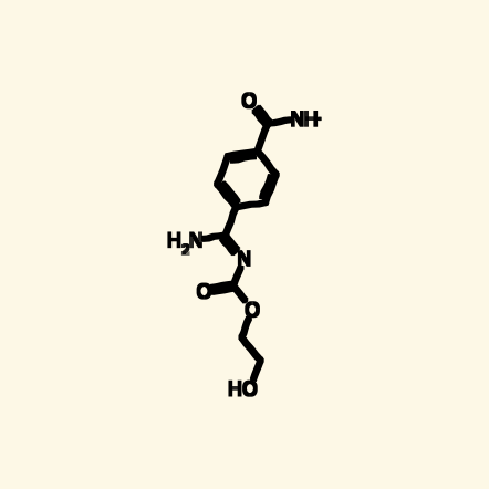 [NH]C(=O)c1ccc(C(N)=NC(=O)OCCO)cc1